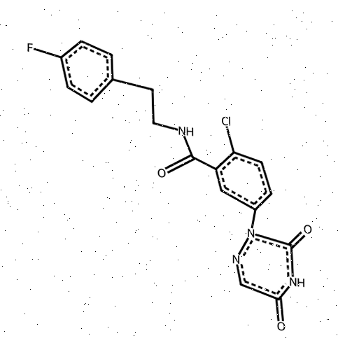 O=C(NCCc1ccc(F)cc1)c1cc(-n2ncc(=O)[nH]c2=O)ccc1Cl